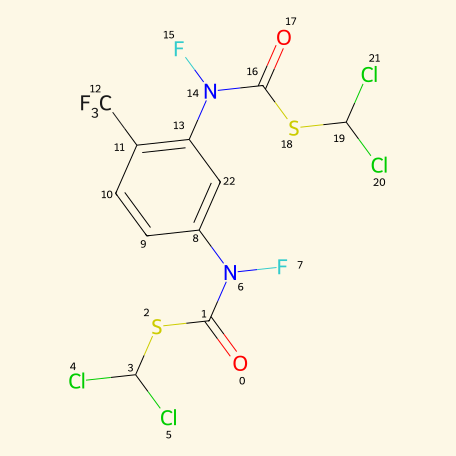 O=C(SC(Cl)Cl)N(F)c1ccc(C(F)(F)F)c(N(F)C(=O)SC(Cl)Cl)c1